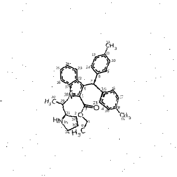 CCOC(=O)c1c(C(c2ccc(C)cc2)c2ccc(C)cc2)c2ccccc2n1C(C)C1CCCN1